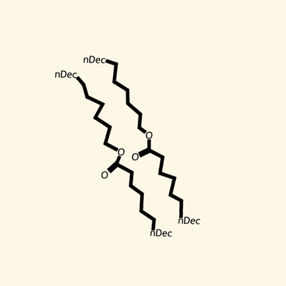 CCCCCCCCCCCCCCCCOC(=O)CCCCCCCCCCCCCCC.CCCCCCCCCCCCCCCCOC(=O)CCCCCCCCCCCCCCC